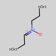 CCCCCCCCC/C=[N+](\[O-])CCCCCCCCCC